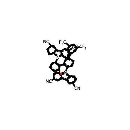 N#Cc1ccc2c(c1)c1cc(C#N)ccc1n2-c1ccc(-c2cc(C(F)(F)F)cc(C(F)(F)F)c2)cc1-c1c(C#N)cccc1-n1c2ccc(C#N)cc2c2cc(C#N)ccc21